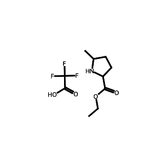 CCOC(=O)C1CCC(C)N1.O=C(O)C(F)(F)F